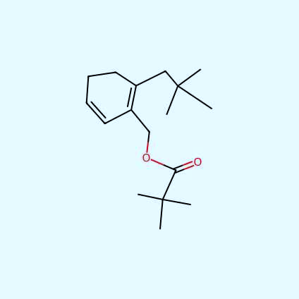 CC(C)(C)CC1=C(COC(=O)C(C)(C)C)C=CCC1